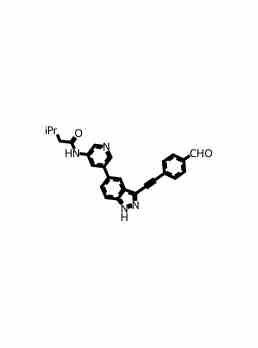 CC(C)CC(=O)Nc1cncc(-c2ccc3[nH]nc(C#Cc4ccc(C=O)cc4)c3c2)c1